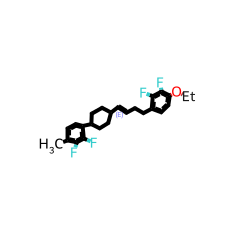 CCOc1ccc(CC/C=C/C2CCC(c3ccc(C)c(F)c3F)CC2)c(F)c1F